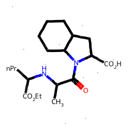 CCCC(NC(C)C(=O)N1C(C(=O)O)CC2CCCCC21)C(=O)OCC